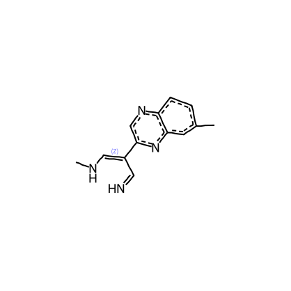 CN/C=C(\C=N)c1cnc2ccc(C)cc2n1